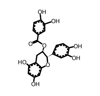 O=C(O[C@@H]1Cc2c(O)cc(O)cc2O[C@H]1c1ccc(O)c(O)c1)c1ccc(O)c(O)c1